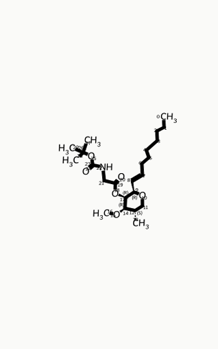 CCCCCCCC=C[C@H]1OC[C@H](C)[C@@H](OC)[C@H]1OC(=O)CNC(=O)OC(C)(C)C